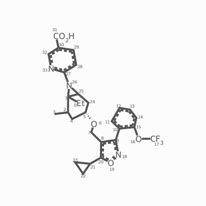 CCC12C(C)C[C@@H](OCc3c(-c4ccccc4OC(F)(F)F)noc3C3CC3)CC1N2c1ccc(C(=O)O)cn1